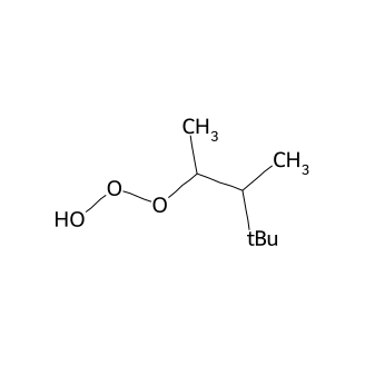 CC(OOO)C(C)C(C)(C)C